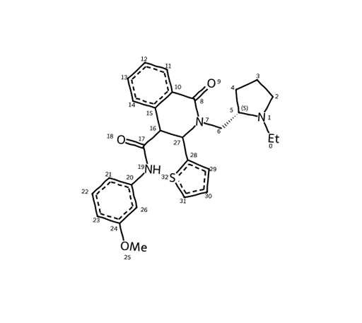 CCN1CCC[C@H]1CN1C(=O)c2ccccc2C(C(=O)Nc2cccc(OC)c2)C1c1cccs1